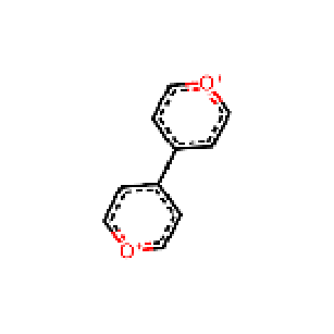 c1cc(-c2cc[o+]cc2)cc[o+]1